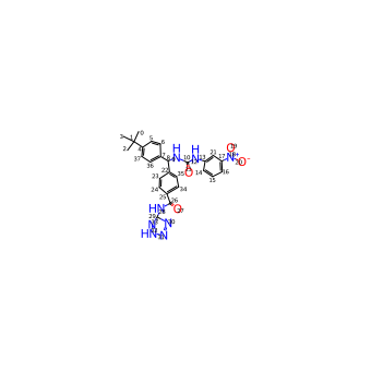 CC(C)(C)c1ccc(C(NC(=O)Nc2cccc([N+](=O)[O-])c2)c2ccc(C(=O)Nc3nn[nH]n3)cc2)cc1